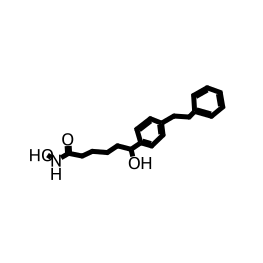 O=C(CCCCC(O)c1ccc(CCc2ccccc2)cc1)NO